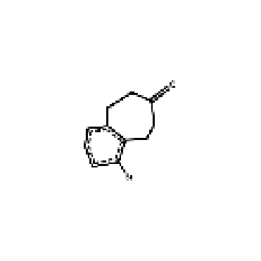 O=C1CCc2cccc(Br)c2CC1